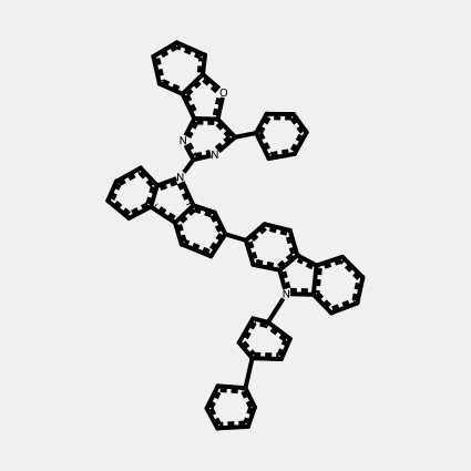 c1ccc(-c2ccc(-n3c4ccccc4c4ccc(-c5ccc6c7ccccc7n(-c7nc(-c8ccccc8)c8oc9ccccc9c8n7)c6c5)cc43)cc2)cc1